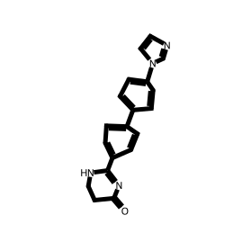 O=C1CCNC(c2ccc(-c3ccc(-n4ccnc4)cc3)cc2)=N1